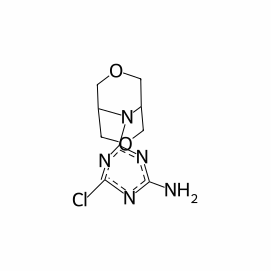 Nc1nc(Cl)nc(N2C3COCC2COC3)n1